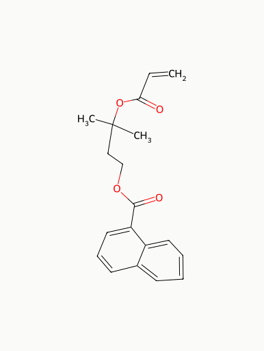 C=CC(=O)OC(C)(C)CCOC(=O)c1cccc2ccccc12